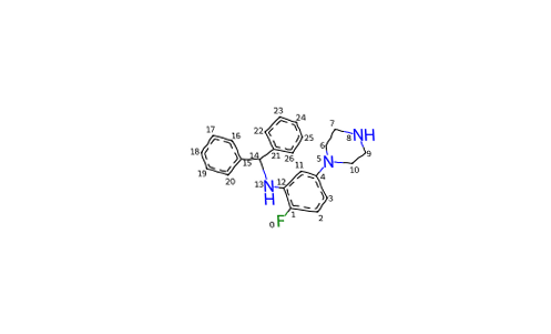 Fc1ccc(N2CCNCC2)cc1NC(c1ccccc1)c1ccccc1